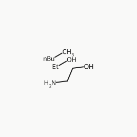 CCCCC.CCO.NCCO